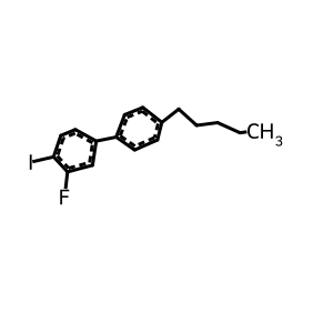 CCCCCc1ccc(-c2ccc(I)c(F)c2)cc1